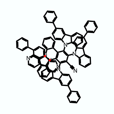 N#Cc1c(-n2c3ccccc3c3cc(-c4ccccc4)ccc32)c(-n2c3ccccc3c3cc(-c4ccccc4)ccc32)c(-c2ccccc2-n2c3cnccc3c3ccncc32)c(-n2c3ccccc3c3cc(-c4ccccc4)ccc32)c1-n1c2ccccc2c2cc(-c3ccccc3)ccc21